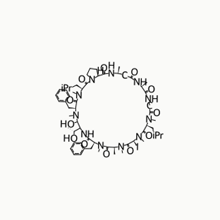 CC(C)C[C@H]1C(=O)N(C)[C@@H](I)C(=O)N(C)[C@@H](C)C(=O)N(C)[C@@H](Cc2ccccc2)C(=O)N[C@@H]([C@@H](C)O)C(O)N(C)[C@@H](Cc2ccccc2)C(=O)N(C)[C@@H](CC(C)C)C(=O)N2CCC[C@H]2C(=O)N[C@@H](C)CC(=O)N[C@@H](C)C(=O)NCC(=O)N1C